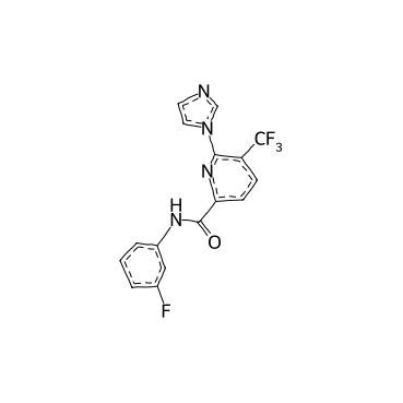 O=C(Nc1cccc(F)c1)c1ccc(C(F)(F)F)c(-n2ccnc2)n1